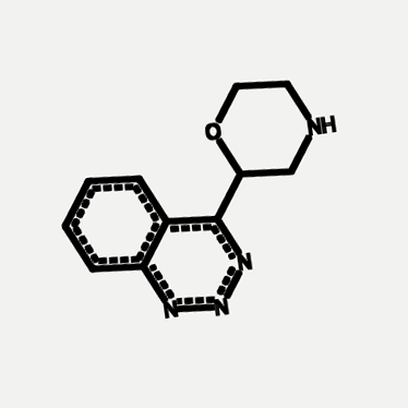 c1ccc2c(C3CNCCO3)nnnc2c1